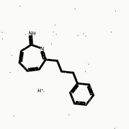 N=c1ccccc(CCCc2ccccc2)n1.[H+]